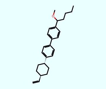 C=C[C@H]1CC[C@H](c2ccc(-c3ccc(C(CCCC)OC)cc3)cc2)CC1